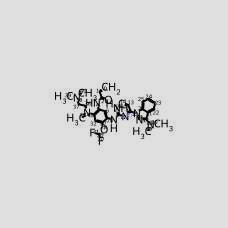 C=CC(=O)Nc1cc(NC(=N)/N=C(\C=C)n2nc(N(C)C)c3ccccc32)c(OC(F)F)cc1N(C)CCN(C)C